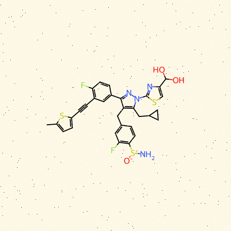 Cc1ccc(C#Cc2cc(-c3nn(-c4nc(C(O)O)cs4)c(CC4CC4)c3Cc3ccc([S+](N)[O-])c(F)c3)ccc2F)s1